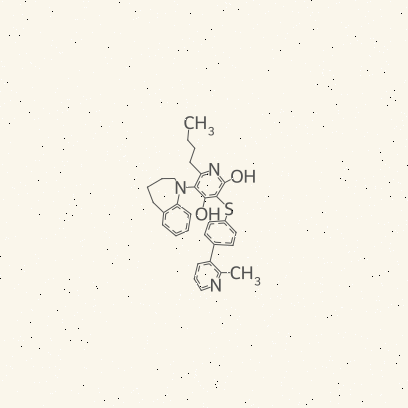 CCCCc1nc(O)c(Sc2ccc(-c3cccnc3C)cc2)c(O)c1N1CCCCc2ccccc21